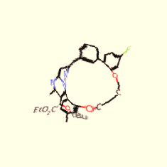 CCOC(=O)[C@@H](OC(C)(C)C)c1c(C)nc2cc3nn2c1-c1ccc(C)cc1OCCCCCOc1cc(F)ccc1-c1cccc-3c1